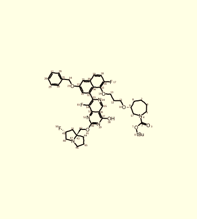 CC(C)(C)OC(=O)N1CCCC[C@@H](OCCCOc2c(F)ccc3cc(OCc4ccccc4)cc(-c4ncc5c(O)nc(OC[C@@]67CCCN6C[C@H](F)C7)nc5c4F)c23)C1